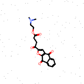 CN(C)CCOC(=O)CCC(=O)c1cc2c(o1)C(=O)c1ccccc1C2=O